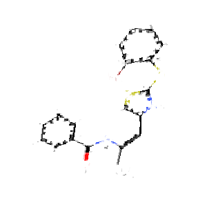 O=C(O)/C(=C/c1csc(Sc2ccccc2Br)n1)NC(=O)c1ccccc1